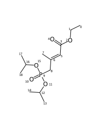 CCOC(=O)/C=C(\C)CP(=O)(OC(C)C)OC(C)C